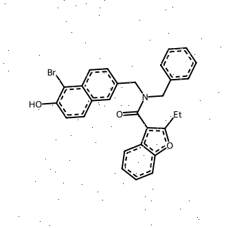 CCc1oc2ccccc2c1C(=O)N(Cc1ccccc1)Cc1ccc2c(Br)c(O)ccc2c1